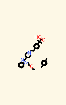 CCOCCn1c(C2CCN(CCc3ccc(C(C)(C)C(=O)O)cc3)CC2)nc2ccccc21.Cc1ccc(C)cc1